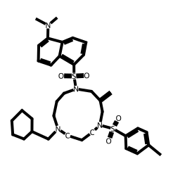 C=C1CN(S(=O)(=O)c2ccc(C)cc2)CCCN(CC2CCCCC2)CCCN(S(=O)(=O)c2cccc3c(N(C)C)cccc23)C1